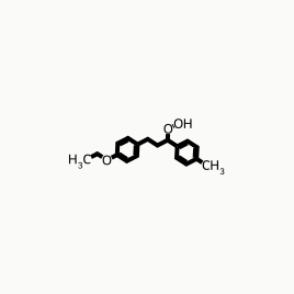 CCOc1ccc(CCC(OO)c2ccc(C)cc2)cc1